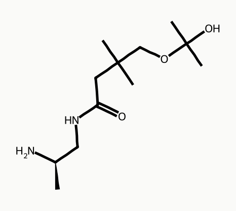 C[C@@H](N)CNC(=O)CC(C)(C)COC(C)(C)O